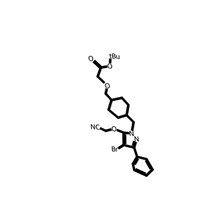 CC(C)(C)OC(=O)COCC1CCC(Cn2nc(-c3ccccc3)c(Br)c2OCC#N)CC1